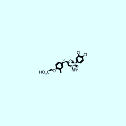 CCCN(C[C@@H](C)Sc1ccc(OCC(=O)O)c(C)c1)S(=O)(=O)c1ccc(Cl)c(Cl)c1